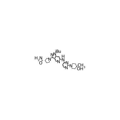 CCC(C)n1nc(N2CC[C@H](C(N)=O)C2)c2cnc(Nc3ccnc(N4CCC(C)(O)CC4)n3)cc21